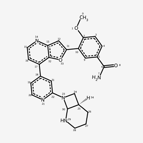 COc1ccc(C(N)=O)cc1-c1cc2nccc(-c3ccnc(N4C[C@H]5CCCNC54)c3)c2o1